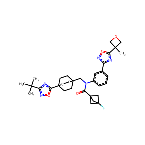 CC(C)(C)c1noc(C23CCC(CN(C(=O)C45CC(F)(C4)C5)c4cccc(-c5noc(C6(C)COC6)n5)c4)(CC2)CC3)n1